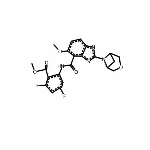 COC(=O)c1c(F)cc(F)cc1NC(=O)c1c(OC)ccc2nc(N3C4COCC3C4)sc12